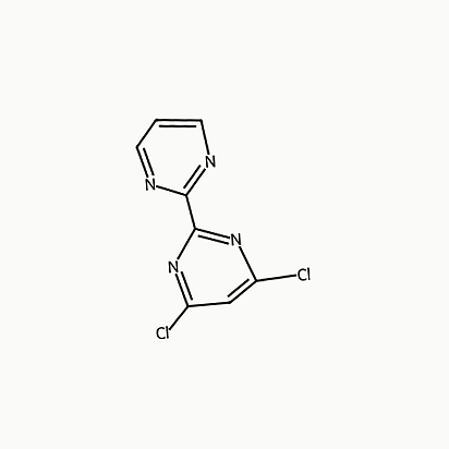 Clc1cc(Cl)nc(-c2ncccn2)n1